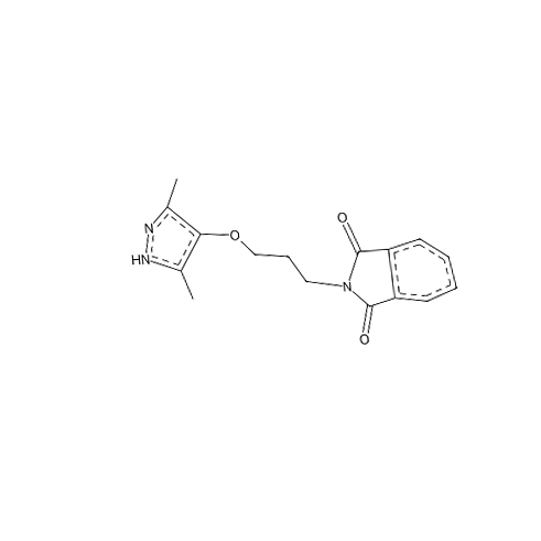 Cc1n[nH]c(C)c1OCCCN1C(=O)c2ccccc2C1=O